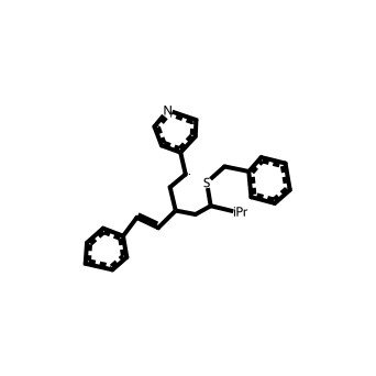 CC(C)C(CC(C=Cc1ccccc1)C[CH]c1ccncc1)SCc1ccccc1